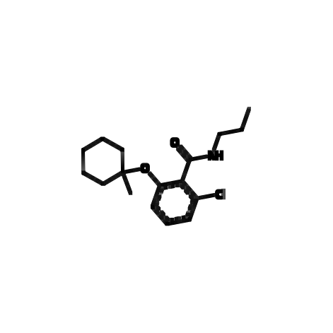 CCCNC(=O)c1c(Cl)cccc1OC1(C)CCCCC1